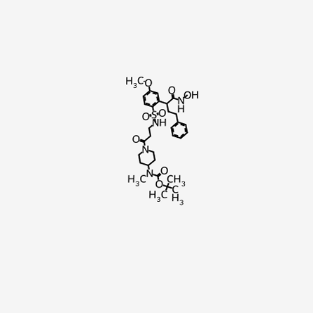 COc1ccc(S(=O)(=O)NCCC(=O)N2CCC(N(C)C(=O)OC(C)(C)C)CC2)c(C(CCc2ccccc2)C(=O)NO)c1